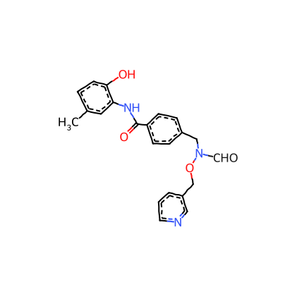 Cc1ccc(O)c(NC(=O)c2ccc(CN(C=O)OCc3cccnc3)cc2)c1